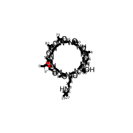 C/C=C/C[C@@H](C)C[C@@H]1C(=O)N[C@H](CC)C(=O)N(C)[C@H](CSCCCNCC(C)(C)C)C(=O)N(C)[C@@H](CC(C)(C)O)C(=O)N[C@H](C(C)C)C(=O)N(C)[C@H](CC(C)C)C(=O)N[C@H](C)C(=O)N[C@@H](C)C(=O)N(C)[C@@H](CC(C)C)C(=O)N(C)[C@H](CC(C)C)C(=O)N(C)[C@H](C(C)C)C(=O)N1C